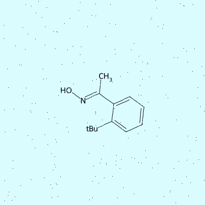 CC(=NO)c1ccccc1C(C)(C)C